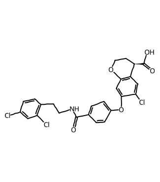 O=C(NCCc1ccc(Cl)cc1Cl)c1ccc(Oc2cc3c(cc2Cl)[C@H](C(=O)O)CCO3)cc1